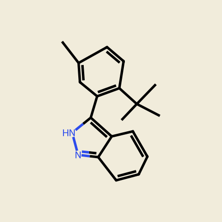 Cc1ccc(C(C)(C)C)c(-c2[nH]nc3ccccc23)c1